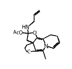 C=CCNC1(OC(C)=O)CC23CCCCC2=C(C)N2C=CCCC2=C3O1